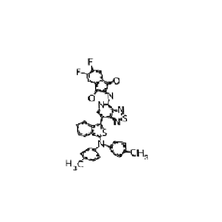 Cc1ccc(N(c2ccc(C)cc2)c2sc(-c3cnc(N=c4c(=O)c5cc(F)c(F)cc5c4=O)c4nsnc34)c3ccccc23)cc1